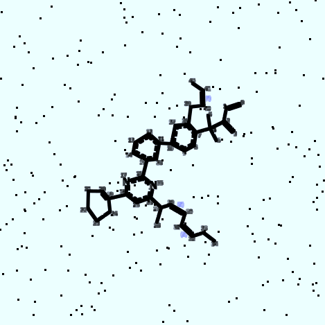 C=CC(=C)C(C)(C)c1ccc(-c2cccc(-c3nc(C4=CCCCC4)cc(C(C)/C=C\C=C/CC)n3)c2)cc1C/C=C\C